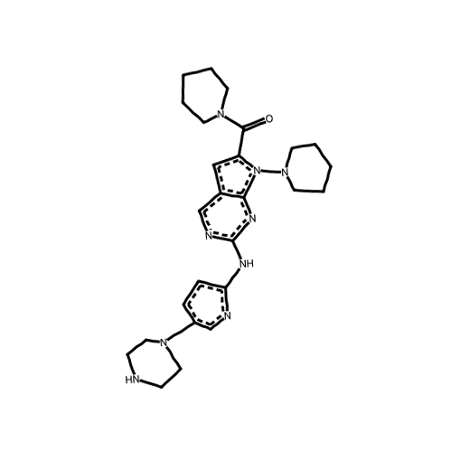 O=C(c1cc2cnc(Nc3ccc(N4CCNCC4)cn3)nc2n1N1CCCCC1)N1CCCCC1